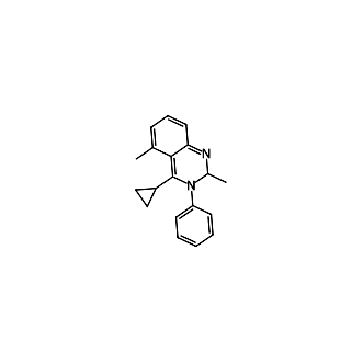 Cc1cccc2c1=C(C1CC1)N(c1ccccc1)C(C)N=2